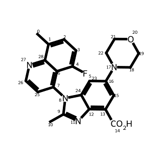 Cc1ccc(F)c2c(-n3c(C)nc4c(C(=O)O)cc(N5CCOCC5)cc43)ccnc12